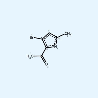 CC(=O)c1nn(C)cc1Br